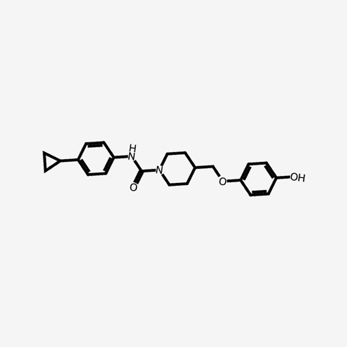 O=C(Nc1ccc(C2CC2)cc1)N1CCC(COc2ccc(O)cc2)CC1